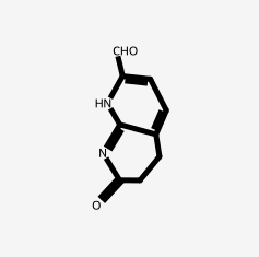 O=CC1=CC=C2CCC(=O)N=C2N1